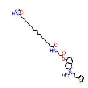 CCCNC(=O)CCCCCCCCCCCCCCCC(=O)NCCC(=O)Oc1cccc2c1CC[C@@H](N(CCC)CCc1cccs1)C2